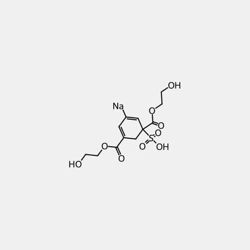 O=C(OCCO)C1=C[C]([Na])=CC(C(=O)OCCO)(S(=O)(=O)O)C1